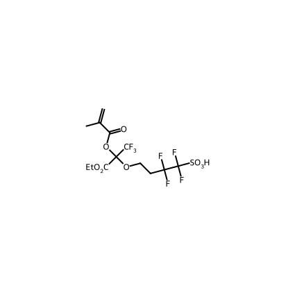 C=C(C)C(=O)OC(OCCC(F)(F)C(F)(F)S(=O)(=O)O)(C(=O)OCC)C(F)(F)F